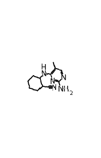 Cc1cnc(N)nc1NC1CCCCC1C#N